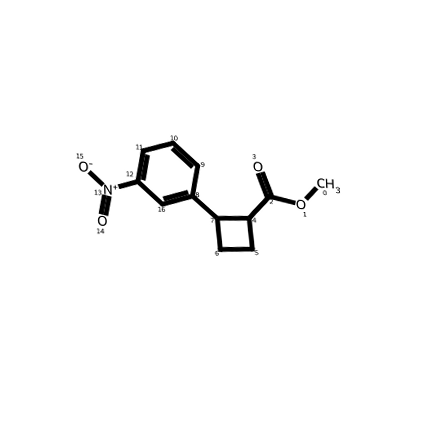 COC(=O)C1CCC1c1cccc([N+](=O)[O-])c1